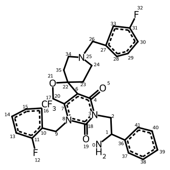 NC(Cn1c(=O)c2c(n(Cc3c(F)cccc3C(F)(F)F)c1=O)COC21CCN(Cc2cccc(F)c2)CC1)c1ccccc1